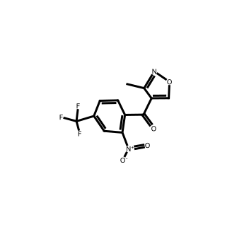 Cc1nocc1C(=O)c1ccc(C(F)(F)F)cc1[N+](=O)[O-]